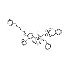 O=C(Nc1ccc(OCCCCCc2ccccc2)c(-c2ccco2)c1)C(COP1(=O)OCc2ccccc2CO1)N(Cc1ccccc1)C(=O)O